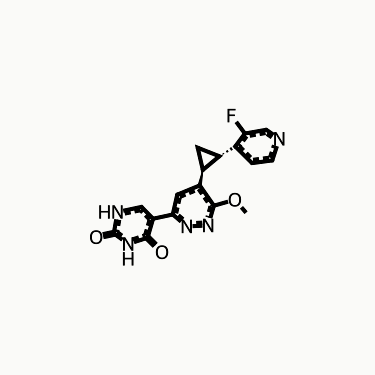 COc1nnc(-c2c[nH]c(=O)[nH]c2=O)cc1[C@H]1C[C@@H]1c1ccncc1F